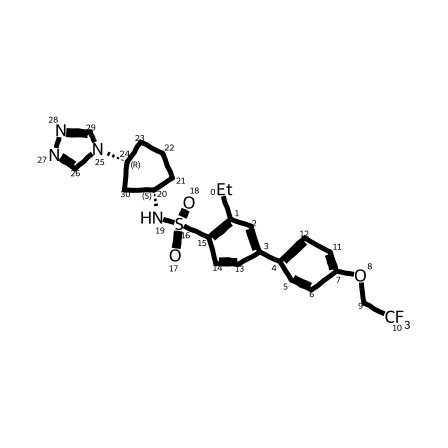 CCc1cc(-c2ccc(OCC(F)(F)F)cc2)ccc1S(=O)(=O)N[C@H]1CCC[C@@H](n2cnnc2)C1